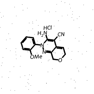 COc1ccccc1N1N=C2COCC=C2C(C#N)=C1N.Cl